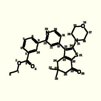 CCOC(=O)c1cccc(-c2cc(-c3c(N4CCOCC4)sc4c3CC(C)(C)CC4=O)ccn2)c1